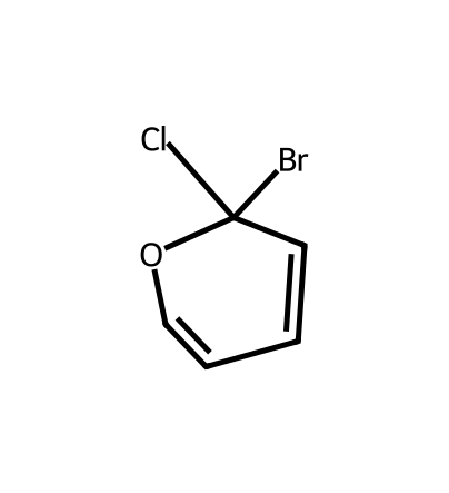 ClC1(Br)C=CC=CO1